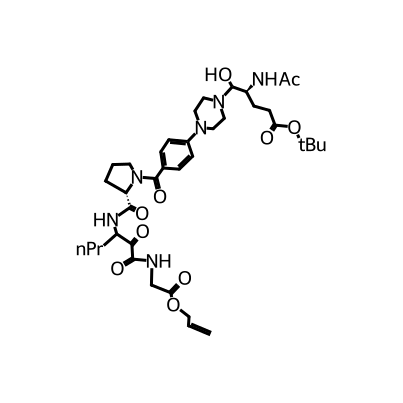 C=CCOC(=O)CNC(=O)C(=O)C(CCC)NC(=O)[C@@H]1CCCN1C(=O)c1ccc(N2CCN(C(O)[C@H](CCC(=O)OC(C)(C)C)NC(C)=O)CC2)cc1